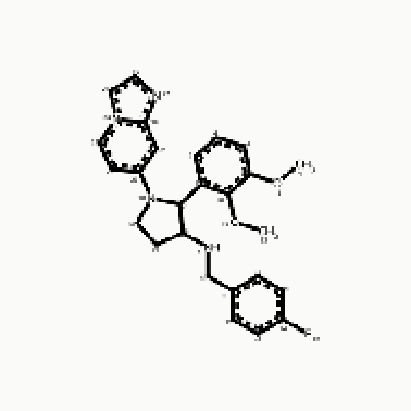 COc1cccc(C2C(NCc3ccc(F)cc3)CCN2c2ccn3ccnc3c2)c1OC